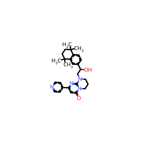 CC1(C)CCC(C)(C)c2cc(C(O)CN3CCCn4c3nc(-c3ccncc3)cc4=O)ccc21